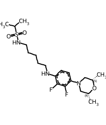 CC(C)S(=O)(=O)NCCCCCNc1ccc(N2C[C@@H](C)O[C@@H](C)C2)c(F)c1F